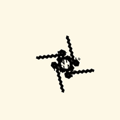 CCCCCCCCCCCC[n+]1ccccc1C1=C2C=CC(=N2)C(c2cccc[n+]2CCCCCCCCCCCC)=C2C=CC(=N2)C(c2cccc[n+]2CCCCCCCCCCCC)=C2C=CC(=N2)C(c2cccc[n+]2CCCCCCCCCCCC)=C2C=CC1=N2